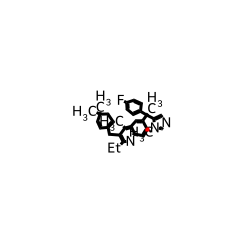 CCc1nc2ccc(C(C)(c3ccc(F)cc3)c3cncn3C)cc2c(C)c1CC1=CCC(C)(C)C=C1